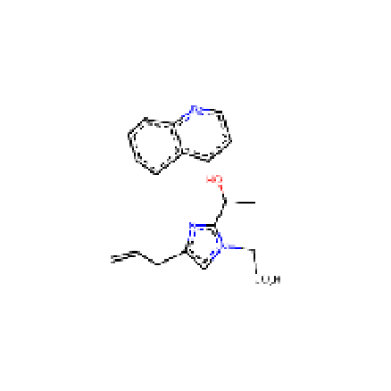 C=CCc1cn(CC(=O)O)c(C(C)O)n1.c1ccc2ncccc2c1